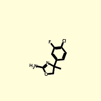 CC1(c2ccc(Cl)c(F)c2)COC(N)=N1